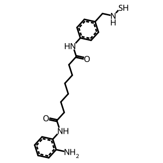 Nc1ccccc1NC(=O)CCCCCCC(=O)Nc1ccc(CNS)cc1